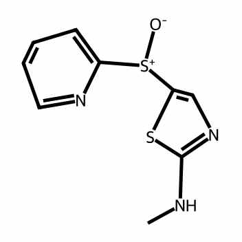 CNc1ncc([S+]([O-])c2ccccn2)s1